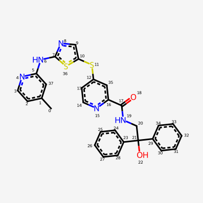 Cc1ccnc(Nc2ncc(Sc3ccnc(C(=O)NCC(O)(c4ccccc4)c4ccccc4)c3)s2)c1